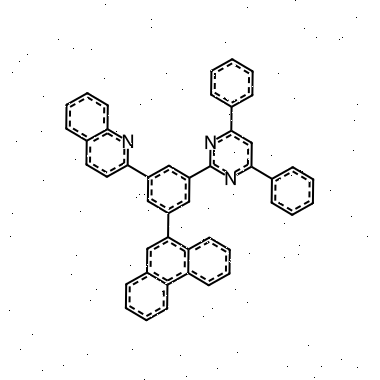 c1ccc(-c2cc(-c3ccccc3)nc(-c3cc(-c4ccc5ccccc5n4)cc(-c4cc5ccccc5c5ccccc45)c3)n2)cc1